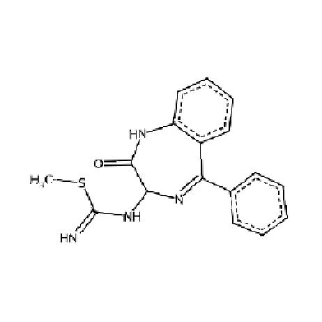 CSC(=N)NC1N=C(c2ccccc2)c2ccccc2NC1=O